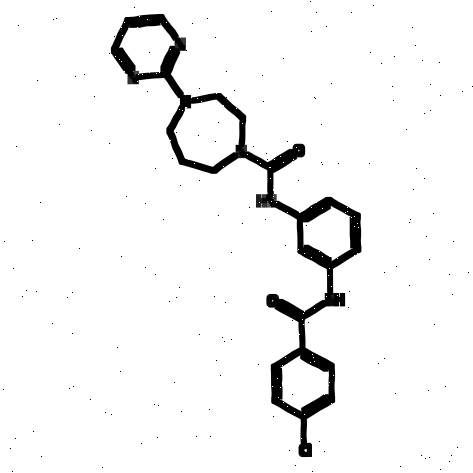 O=C(Nc1cccc(NC(=O)N2CCCN(c3ncccn3)CC2)c1)c1ccc(Cl)cc1